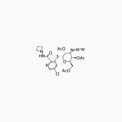 CC(=O)OC[C@H]1O[C@H](Sc2cc(Cl)cnc2C(=O)NN2CCC2)[C@H](OC(C)=O)[C@@H](N=[N+]=[N-])[C@H]1OC(C)=O